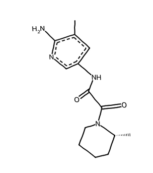 Cc1cc(NC(=O)C(=O)N2CCCC[C@H]2C)cnc1N